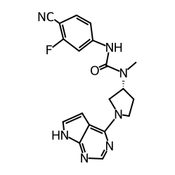 CN(C(=O)Nc1ccc(C#N)c(F)c1)[C@@H]1CCN(c2ncnc3[nH]ccc23)C1